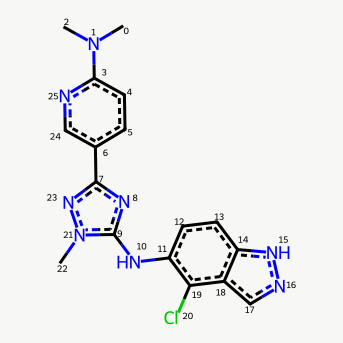 CN(C)c1ccc(-c2nc(Nc3ccc4[nH]ncc4c3Cl)n(C)n2)cn1